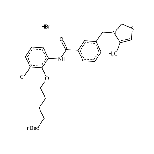 Br.CCCCCCCCCCCCCCOc1c(Cl)cccc1NC(=O)c1cccc(CN2CSC=C2C)c1